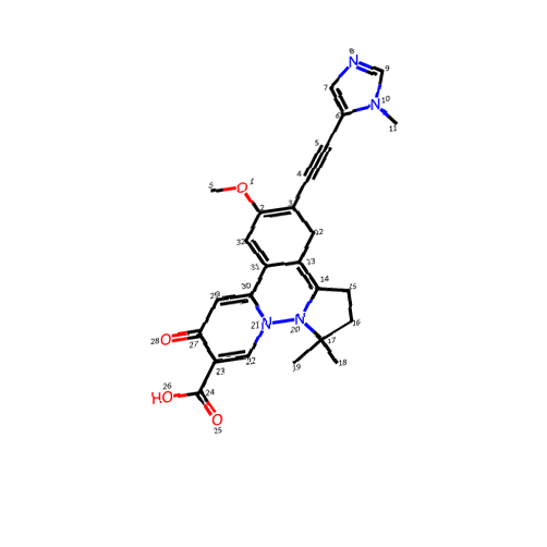 COC1=C(C#Cc2cncn2C)CC2=C3CCC(C)(C)N3n3cc(C(=O)O)c(=O)cc3C2=C1